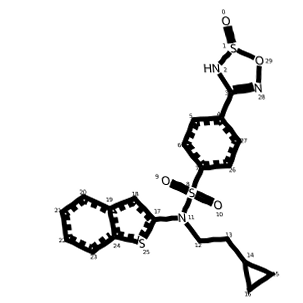 O=S1NC(c2ccc(S(=O)(=O)N(CCC3CC3)c3cc4ccccc4s3)cc2)=NO1